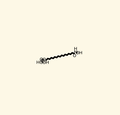 O=C(CCCCCCCCCCCCCCCCOP(=O)(O)O)NO